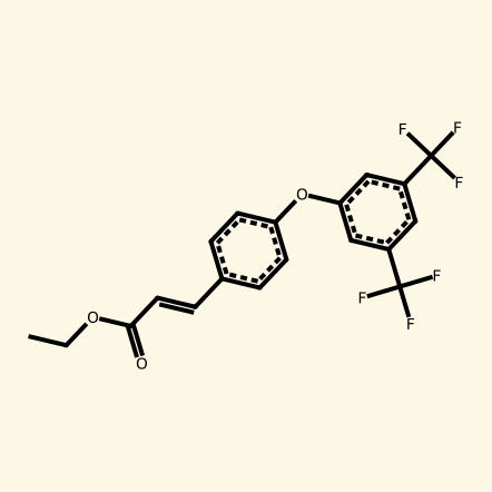 CCOC(=O)C=Cc1ccc(Oc2cc(C(F)(F)F)cc(C(F)(F)F)c2)cc1